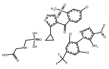 CS(=O)(=O)c1cc(Cl)ccc1C(=O)c1cnoc1C1CC1.Nc1c([N+](=O)[O-])cnn1-c1c(Cl)cc(C(F)(F)F)cc1Cl.O=C(O)CNCP(=O)(O)O